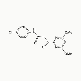 COc1cc(OC)nc(C(=O)CC(=O)Nc2ccc(Cl)cc2)n1